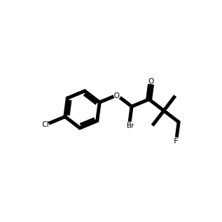 CC(C)(CF)C(=O)C(Br)Oc1ccc(Cl)cc1